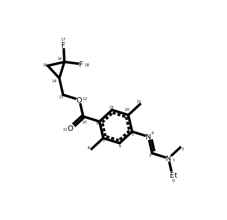 CCN(C)/C=N/c1cc(C)c(C(=O)OCC2CC2(F)F)cc1C